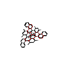 Cc1cc(C)c(-c2cccc3ccccc23)c([O][Al]([O]c2c(-c3cccc4ccccc34)c(C)cc(C)c2-c2cccc3ccccc23)[O]c2c(-c3cccc4ccccc34)c(C)cc(C)c2-c2cccc3ccccc23)c1-c1cccc2ccccc12